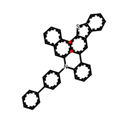 c1ccc(-c2ccc(N(c3ccc4ccccc4c3)c3ccccc3-c3ccc4sc5ccccc5c4c3)cc2)cc1